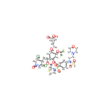 CS(=O)(=O)N(CCN1CCOCC1)c1ccc(S(=O)(=O)N2CCSC2C(=O)OC(Cc2c(Cl)c[n+]([O-])cc2Cl)c2ccc(OC(F)F)c(OCC3CC3)c2)cc1.O=CO